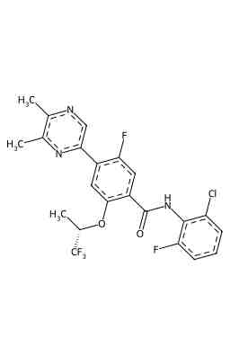 Cc1ncc(-c2cc(O[C@@H](C)C(F)(F)F)c(C(=O)Nc3c(F)cccc3Cl)cc2F)nc1C